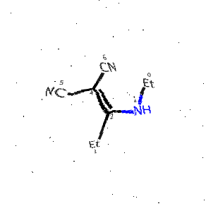 CCNC(CC)=C(C#N)C#N